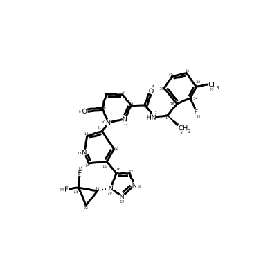 C[C@@H](NC(=O)c1ccc(=O)n(-c2cncc(-c3cnnn3[C@@H]3CC3(F)F)c2)n1)c1cccc(C(F)(F)F)c1F